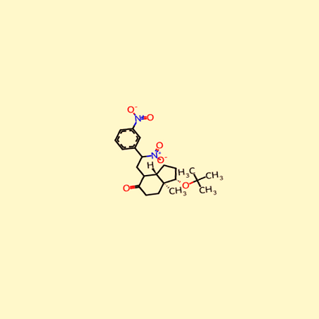 CC(C)(C)O[C@H]1CC[C@H]2C(CC(c3cccc([N+](=O)[O-])c3)[N+](=O)[O-])C(=O)CC[C@]12C